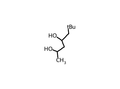 CC(O)CC(O)CC(C)(C)C